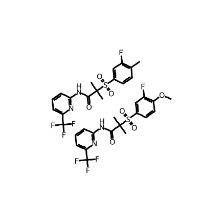 COc1ccc(S(=O)(=O)C(C)(C)C(=O)Nc2cccc(C(F)(F)F)n2)cc1F.Cc1ccc(S(=O)(=O)C(C)(C)C(=O)Nc2cccc(C(F)(F)F)n2)cc1F